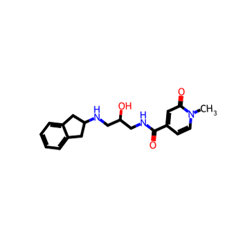 Cn1ccc(C(=O)NCC(O)CNC2Cc3ccccc3C2)cc1=O